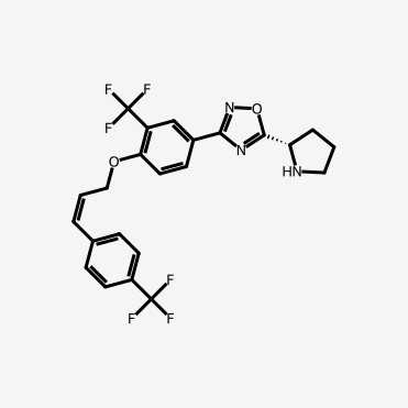 FC(F)(F)c1ccc(/C=C\COc2ccc(-c3noc([C@@H]4CCCN4)n3)cc2C(F)(F)F)cc1